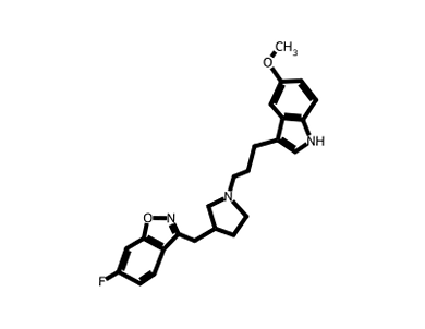 COc1ccc2[nH]cc(CCCN3CCC(Cc4noc5cc(F)ccc45)C3)c2c1